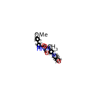 COc1ccc(-c2ccnc(C(=O)N[C@H]3COc4cc(N5CCC6(CCOCC6)CC5)ccc4N(C)C3=O)c2)cc1